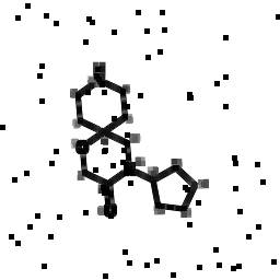 O=C1COC2(CCNCC2)CN1C1CCCC1